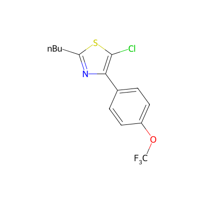 CCCCc1nc(-c2ccc(OC(F)(F)F)cc2)c(Cl)s1